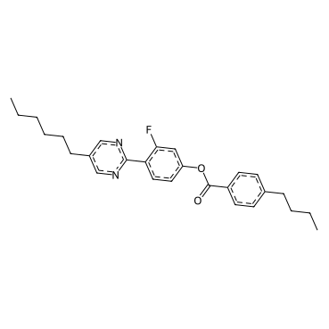 CCCCCCc1cnc(-c2ccc(OC(=O)c3ccc(CCCC)cc3)cc2F)nc1